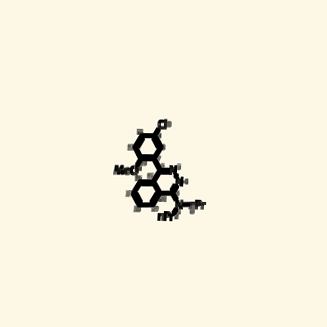 CCCN(CCC)c1nnc(-c2cc(Cl)ccc2OC)c2ccccc12